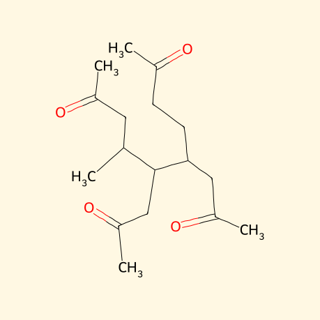 CC(=O)CCC(CC(C)=O)C(CC(C)=O)C(C)CC(C)=O